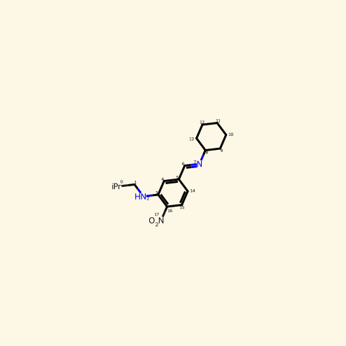 CC(C)CNc1cc(C=NC2CCCCC2)ccc1[N+](=O)[O-]